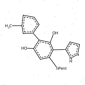 CCCCCc1cc(O)c(-c2cccc(C)c2)c(O)c1-c1ccn[nH]1